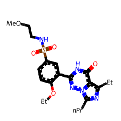 CCCc1nc(CC)c2c(=O)[nH]c(-c3cc(S(=O)(=O)NCCOC)ccc3OCC)nn12